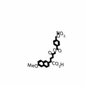 COc1ccc2cc([C@H](CCC(=O)COC(=O)c3ccc(CO[N+](=O)[O-])cc3)C(=O)O)ccc2c1